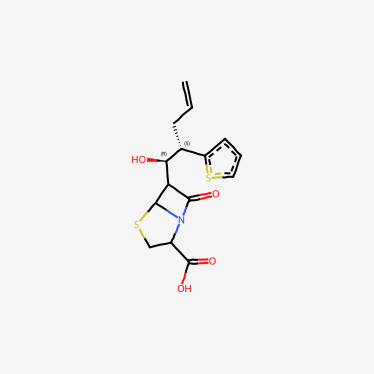 C=CC[C@H](c1cccs1)[C@H](O)C1C(=O)N2C(C(=O)O)CSC12